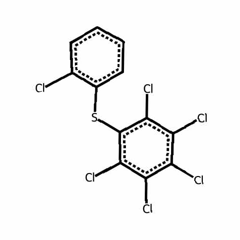 Clc1ccccc1Sc1c(Cl)c(Cl)c(Cl)c(Cl)c1Cl